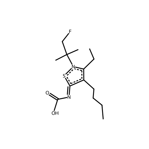 CCCCc1c(CC)n(C(C)(C)CF)sc1=NC(=O)O